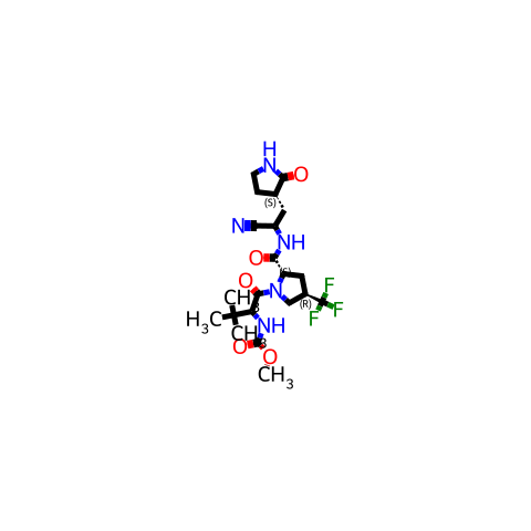 COC(=O)NC(C(=O)N1C[C@H](C(F)(F)F)C[C@H]1C(=O)NC(C#N)C[C@@H]1CCNC1=O)C(C)(C)C